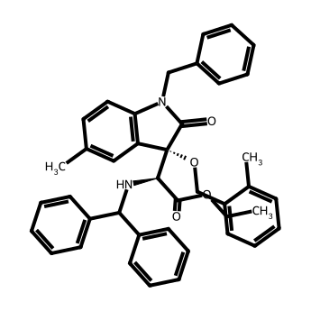 CCOC(=O)[C@@H](NC(c1ccccc1)c1ccccc1)[C@]1(OCc2ccccc2C)C(=O)N(Cc2ccccc2)c2ccc(C)cc21